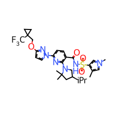 Cc1cn(C)cc1S(=O)(=O)NC(=O)c1ccc(-n2ccc(OCC3(C(F)(F)F)CC3)n2)nc1N1CC(C(C)C)CC1(C)C